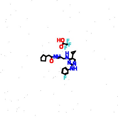 O=C(CC1CCCC1)NCCCNc1nc(Nc2cccc(F)c2)ncc1C1CC1.O=C(O)C(F)(F)F